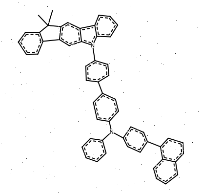 CC1(C)c2ccccc2-c2cc3c(cc21)c1ccccc1n3-c1ccc(-c2ccc(N(c3ccccc3)c3ccc(-c4cccc5ccccc45)cc3)cc2)cc1